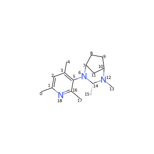 Cc1cc(C)c(N2C3CCC(C3)N(C)[C@@H]2C)c(C)n1